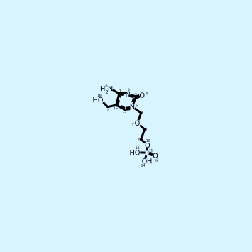 Nc1nc(=O)n(COCCOP(=O)(O)O)cc1CO